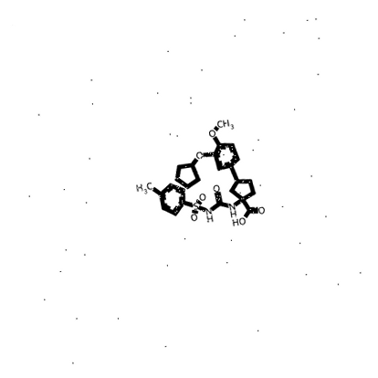 COc1ccc(C2CCC(NC(=O)NS(=O)(=O)c3ccc(C)cc3)(C(=O)O)C2)cc1OC1CCCC1